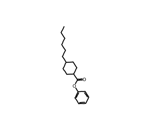 CCCCCCC1CCC(C(=O)Oc2ccccc2)CC1